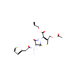 C=CCOC(=O)C1=C(COC(C)=O)CS[C@@H]2[C@H](NC(=O)Cc3cccs3)C(=O)N12